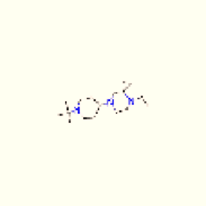 CCN1CCN(C2CCN(C(C)(C)C)CC2)CC12CC2